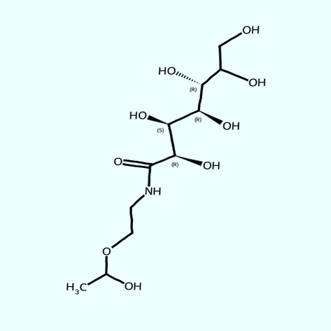 CC(O)OCCNC(=O)[C@H](O)[C@@H](O)[C@H](O)[C@H](O)C(O)CO